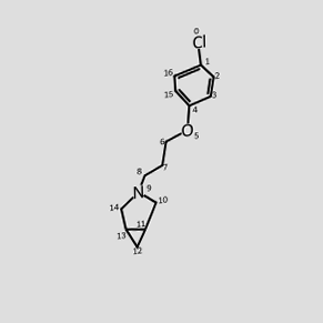 Clc1ccc(OCCCN2CC3CC3C2)cc1